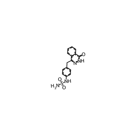 NS(=O)(=O)Nc1ccc(Cc2n[nH]c(=O)c3ccccc23)cc1